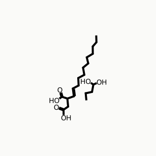 CCCC(O)O.CCCCCCCCCCC=CC(CC(=O)O)C(=O)O